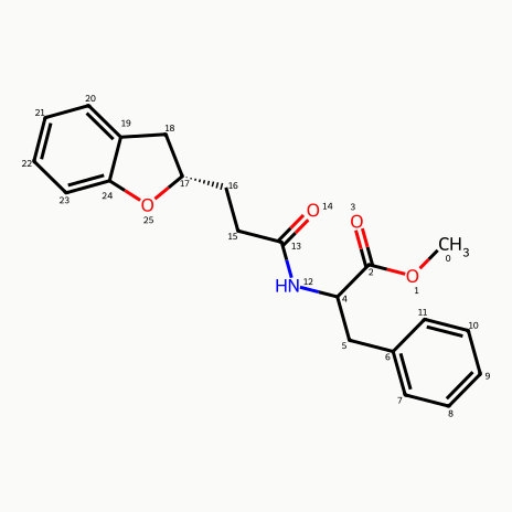 COC(=O)C(Cc1ccccc1)NC(=O)CC[C@H]1Cc2ccccc2O1